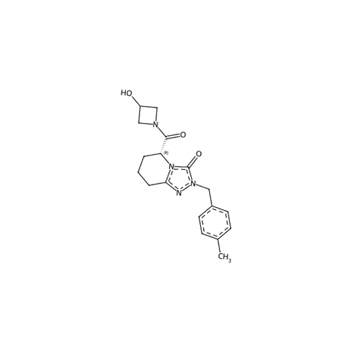 Cc1ccc(Cn2nc3n(c2=O)[C@@H](C(=O)N2CC(O)C2)CCC3)cc1